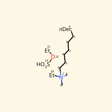 CCCCCCCCCCCCCCCC[N+](C)(C)CC.CCOS(=O)(=O)O